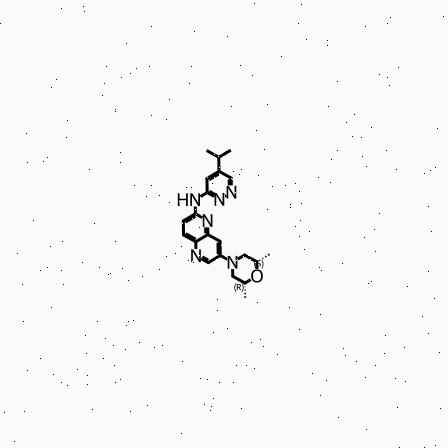 CC(C)c1cnnc(Nc2ccc3ncc(N4C[C@@H](C)O[C@@H](C)C4)cc3n2)c1